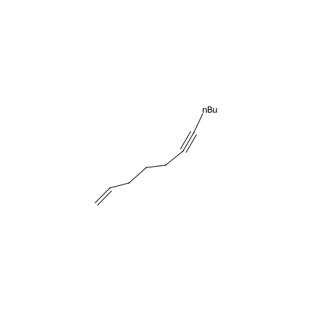 C=CCCCC#CCCCC